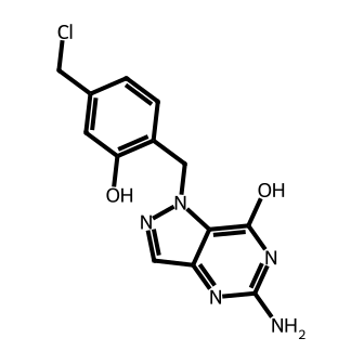 Nc1nc(O)c2c(cnn2Cc2ccc(CCl)cc2O)n1